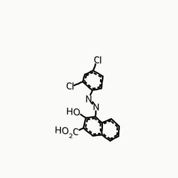 O=C(O)c1cc2ccccc2c(/N=N/c2ccc(Cl)cc2Cl)c1O